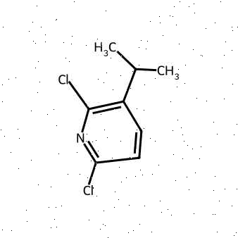 CC(C)c1ccc(Cl)nc1Cl